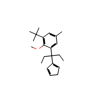 CCC(CC)(C1=CCC=C1)c1cc(C)cc(C(C)(C)C)c1OC